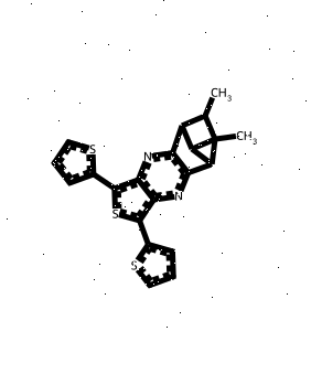 CC1C2c3nc4c(-c5cccs5)sc(-c5cccs5)c4nc3C3C2C13C